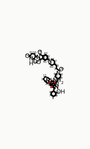 Nc1nnc(-c2ccccc2O)cc1N1CC2CCC(C1)N2c1cccc(CC2CCN(C(=O)CCC3CCN(c4ccc5c(c4)C(=O)N(C4CCC(=O)NC4=O)C5=O)CC3)CC2)c1